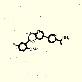 COc1ccc(F)cc1C(C)Oc1cc(-c2ccc(C(C)N)nc2)cnc1N